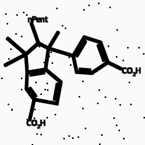 [CH2]CCCCC1C(C)(C)c2cc(C(=O)O)ccc2C1(C)c1ccc(C(=O)O)cc1